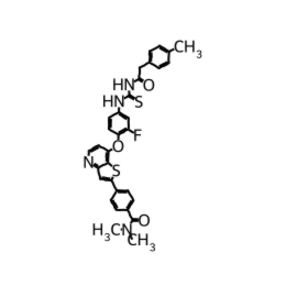 Cc1ccc(CC(=O)NC(=S)Nc2ccc(Oc3ccnc4cc(-c5ccc(C(=O)N(C)C)cc5)sc34)c(F)c2)cc1